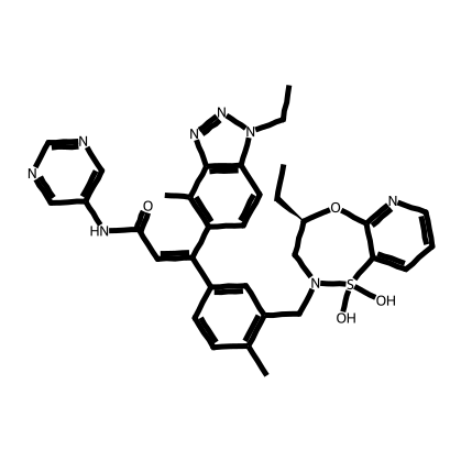 CC[C@@H]1CN(Cc2cc(/C(=C/C(=O)Nc3cncnc3)c3ccc4c(nnn4CC)c3C)ccc2C)S(O)(O)c2cccnc2O1